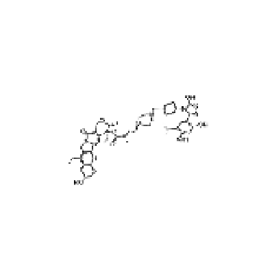 CCc1c2c(nc3ccc(O)cc13)-c1cc3c(c(=O)n1C2)COC(=O)[C@@]3(CC)OC(=O)N(C)CCN1CCN(Cc2ccc(-n3c(O)nnc3-c3cc(C(C)C)c(O)cc3O)cc2)CC1